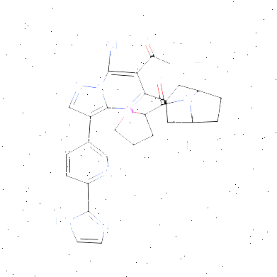 CC(=O)c1c(C2C[C@H]3CC[C@@H](C2)N3C(=O)C2CCCO2)nc2c(-c3ccc(-c4ncc[nH]4)nc3)cnn2c1N